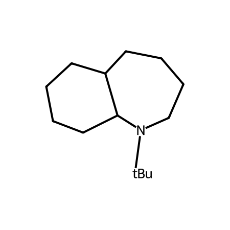 CC(C)(C)N1CCCCC2CCCCC21